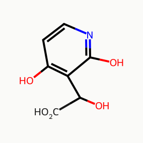 O=C(O)C(O)c1c(O)ccnc1O